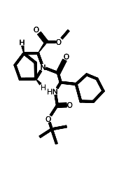 COC(=O)[C@@H]1[C@H]2CC[C@H](C2)N1C(=O)C(NC(=O)OC(C)(C)C)C1CCCCC1